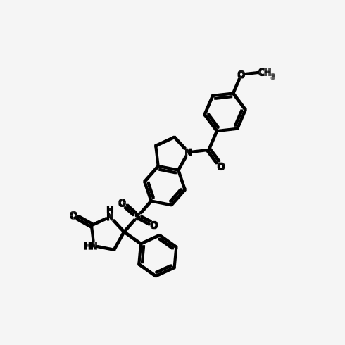 COc1ccc(C(=O)N2CCc3cc(S(=O)(=O)C4(c5ccccc5)CNC(=O)N4)ccc32)cc1